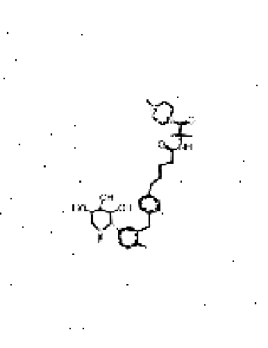 Cc1ccc([C@H]2[C@H](O)[C@H](O)[C@H](O)C[SH]2C)cc1Cc1ccc(CCCCC(=O)NC(C)(C)C(=O)N2CCN(C)CC2)cc1